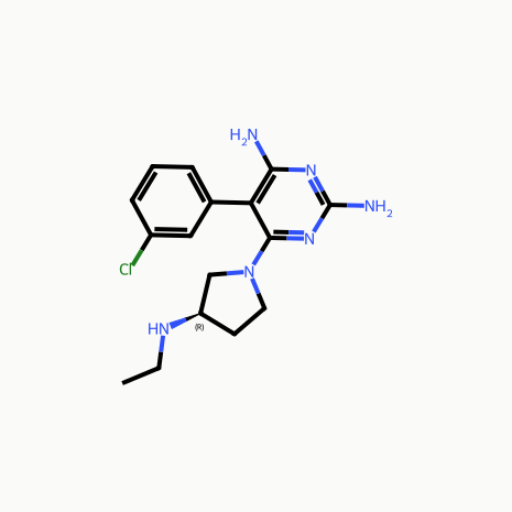 CCN[C@@H]1CCN(c2nc(N)nc(N)c2-c2cccc(Cl)c2)C1